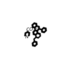 C1=c2c(ccc3c2=C(c2ccccc2)Cc2ccccc2-3)C(Cc2ccccc2)CC1.CCOC(=O)c1ccncc1